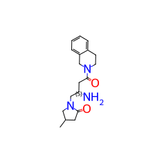 CC1CC(=O)N(C[C@@H](N)CC(=O)N2CCc3ccccc3C2)C1